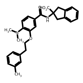 Cc1cccc(CCOc2cc(C(=O)NC3(C(=O)O)Cc4ccccc4C3)ccc2N(C)C)c1